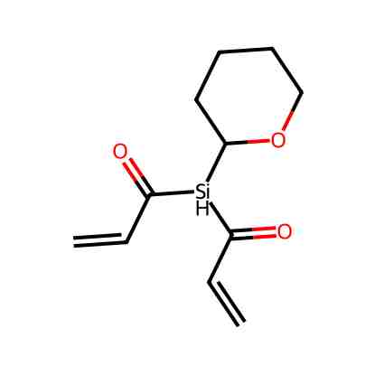 C=CC(=O)[SiH](C(=O)C=C)C1CCCCO1